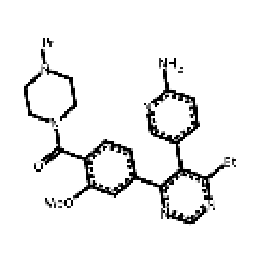 CCc1ncnc(-c2ccc(C(=O)N3CCN(C(C)C)CC3)c(OC)c2)c1-c1ccc(N)nc1